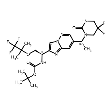 C[C@H](c1cnn2cc([C@H](COC(C)(C)C(F)(F)F)NC(=O)OC(C)(C)C)nc2c1)N1CC(F)(F)CNC1=O